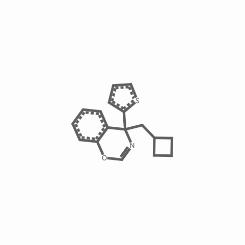 C1=NC(CC2CCC2)(c2cccs2)c2ccccc2O1